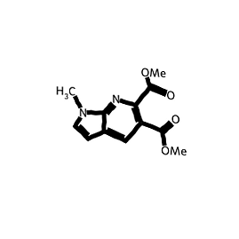 COC(=O)c1cc2ccn(C)c2nc1C(=O)OC